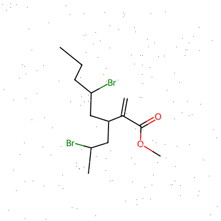 C=C(C(=O)OC)C(CC(C)Br)CC(Br)CCC